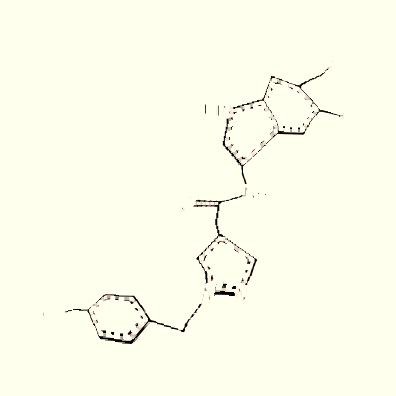 O=C(Nc1c[nH]c2cc(F)c(F)cc12)c1cnn(Cc2ccc(C(F)(F)F)cc2)c1